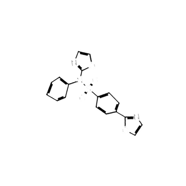 O=S(=O)(c1ccc(-c2ncco2)cc1)N(c1ccccc1)c1ncco1